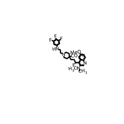 COc1ccc2ncc(N(C)C)c([C@H](F)CCC3(C(=O)O)CCN(CCNc4cc(F)c(F)c(F)c4)CC3)c2c1